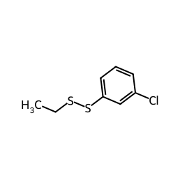 CCSSc1cccc(Cl)c1